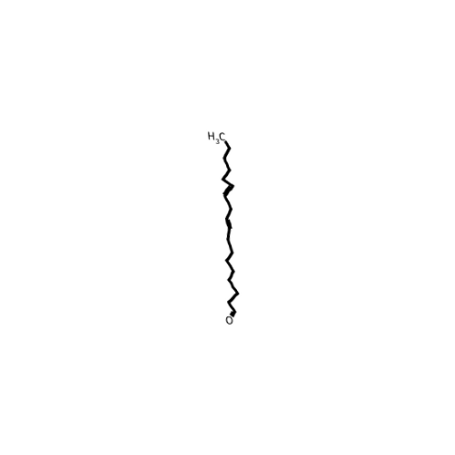 CCCCCC=CCC=CCCCCCCCC=O